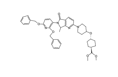 COC(OC)[C@H]1CC[C@H](OC2CCN(c3ccc4c(n3)C(C)N(c3ccc(OCc5ccccc5)nc3OCc3ccccc3)C4=O)CC2)CC1